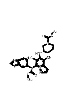 Cc1c(N[C@H]2CCCN(C(=O)OC(C)(C)C)C2)c(C#N)c2ccnn2c1N(C(=O)OC(C)(C)C)c1ccc2ncsc2c1